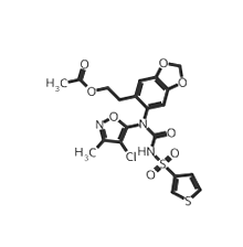 CC(=O)OCCc1cc2c(cc1N(C(=O)NS(=O)(=O)c1ccsc1)c1onc(C)c1Cl)OCO2